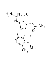 CCc1c(C)cnc(CN2C[C@@H](CC(N)=O)c3c(Cl)nc(N)nc32)c1C